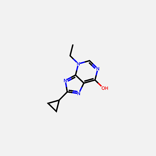 CCn1cnc(O)c2nc(C3CC3)nc1-2